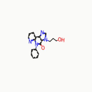 O=c1c2c(ncn2CCCO)c2cccnc2n1-c1ccccc1